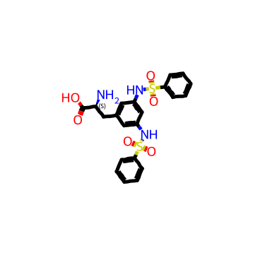 N[C@@H](Cc1cc(NS(=O)(=O)c2ccccc2)cc(NS(=O)(=O)c2ccccc2)c1)C(=O)O